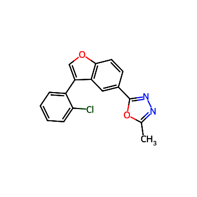 Cc1nnc(-c2ccc3occ(-c4ccccc4Cl)c3c2)o1